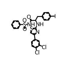 O=C(NS(=O)(=O)c1ccccc1)C(Cc1ccc(I)cc1)Nc1nc(-c2ccc(Cl)c(Cl)c2)cs1